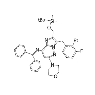 CCc1c(F)cccc1Cc1c(CO[Si](C)(C)C(C)(C)C)nc2c(N=C(c3ccccc3)c3ccccc3)cc(N3CCOCC3)nn12